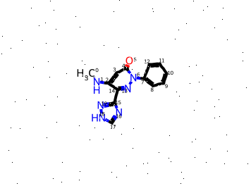 CNc1cc(=O)n(-c2ccccc2)nc1-c1nc[nH]n1